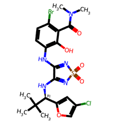 CN(C)C(=O)c1c(Br)ccc(NC2=NS(=O)(=O)N=C2N[C@@H](c2cc(Cl)co2)C(C)(C)C)c1O